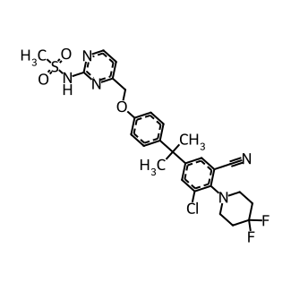 CC(C)(c1ccc(OCc2ccnc(NS(C)(=O)=O)n2)cc1)c1cc(Cl)c(N2CCC(F)(F)CC2)c(C#N)c1